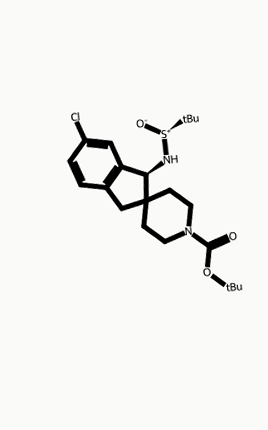 CC(C)(C)OC(=O)N1CCC2(CC1)Cc1ccc(Cl)cc1[C@H]2N[S@@+]([O-])C(C)(C)C